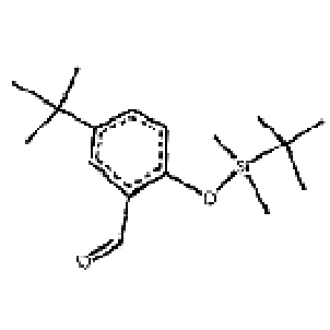 CC(C)(C)c1ccc(O[Si](C)(C)C(C)(C)C)c(C=O)c1